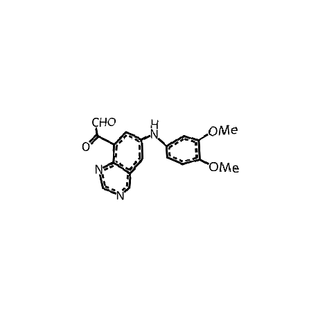 COc1ccc(Nc2cc(C(=O)C=O)c3ncncc3c2)cc1OC